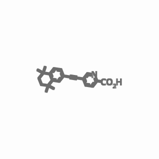 CC1(C)CCC(C)(C)c2cc(C#Cc3ccc(C(=O)O)nc3)ccc21